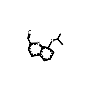 CC(C)Oc1cccc2ccc(C=O)nc12